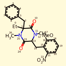 CCC1(Cc2ccccc2)C(=O)N(C)C(Cc2c(OC)cccc2[N+](=O)[O-])C(=O)N1C